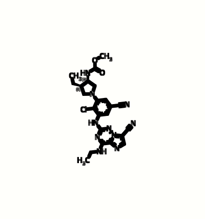 CCNc1nc(Nc2cc(C#N)cc(N3C[C@@H](CC)[C@@H](NC(=O)OC)C3)c2Cl)nn2c(C#N)cnc12